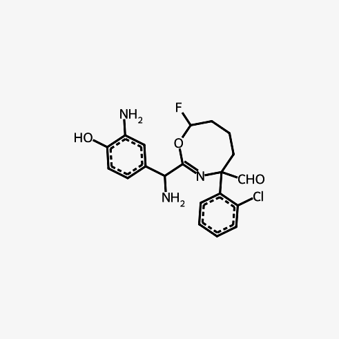 Nc1cc(C(N)/C2=N/C(C=O)(c3ccccc3Cl)CCCC(F)O2)ccc1O